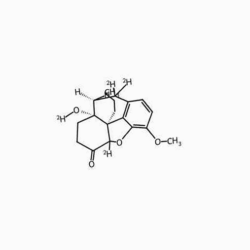 [2H]O[C@@]12CCC(=O)C3([2H])Oc4c(OC)ccc5c4[C@@]31CCN(C)[C@@H]2C5([2H])[2H]